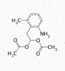 CC(=O)OC(Cc1c(C)cccc1N)OC(C)=O